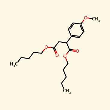 CCCCCOC(=O)CC(C(=O)OCCCCC)c1ccc(OC)cc1